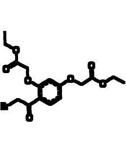 CCOC(=O)COc1ccc(C(=O)CBr)c(OCC(=O)OCC)c1